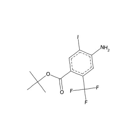 CC(C)(C)OC(=O)c1cc(I)c(N)cc1C(F)(F)F